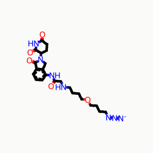 [N-]=[N+]=NCCCCOCCCCNCC(=O)Nc1cccc2c1CN(C1CCC(=O)NC1=O)C2=O